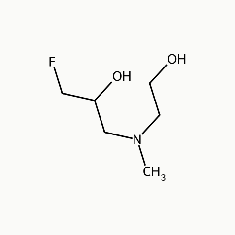 CN(CCO)CC(O)CF